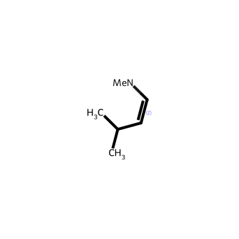 CN/C=C\C(C)C